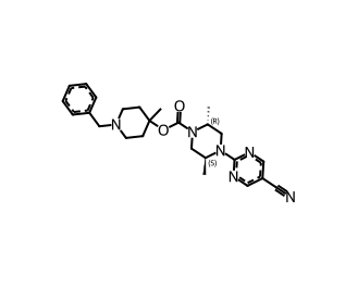 C[C@@H]1CN(c2ncc(C#N)cn2)[C@@H](C)CN1C(=O)OC1(C)CCN(Cc2ccccc2)CC1